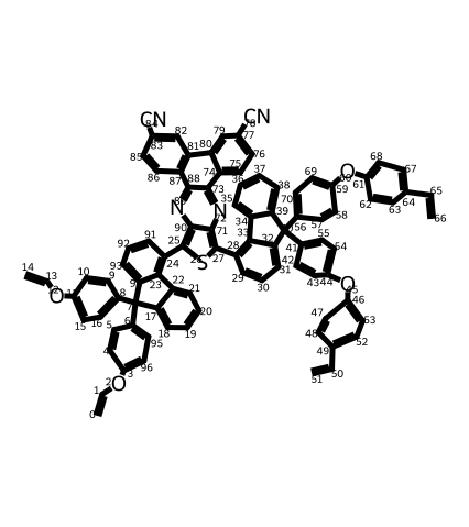 C=COc1ccc(C2(c3ccc(OC=C)cc3)c3ccccc3-c3c(-c4sc(-c5cccc6c5-c5ccccc5C6(c5ccc(Oc6ccc(C=C)cc6)cc5)c5ccc(Oc6ccc(C=C)cc6)cc5)c5nc6c7ccc(C#N)cc7c7cc(C#N)ccc7c6nc45)cccc32)cc1